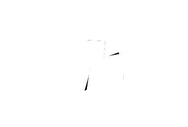 CC[C@]1(O)[C@@H](O)[CH]O[C@@H]1CO